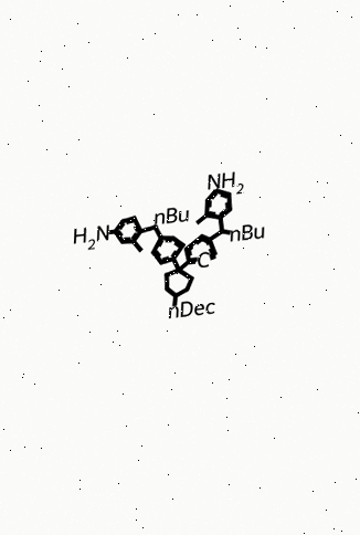 CCCCCCCCCCC1CCC(c2ccc(C(CCCC)c3ccc(N)cc3C)cc2)(c2ccc(C(CCCC)c3ccc(N)cc3C)cc2)CC1